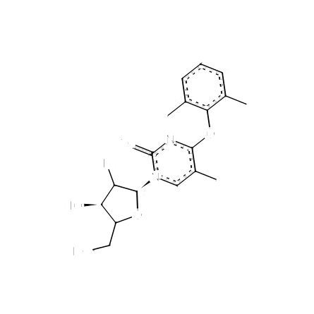 Cc1cn([C@H]2OC(CO)[C@@H](O)C2F)c(=S)nc1Oc1c(C)cccc1C